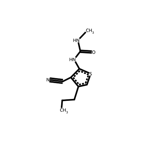 CCCc1csc(NC(=O)NC)c1C#N